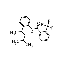 CC(C)C[C@@H](C)c1ccccc1NC(=O)c1ccccc1C(F)(F)F